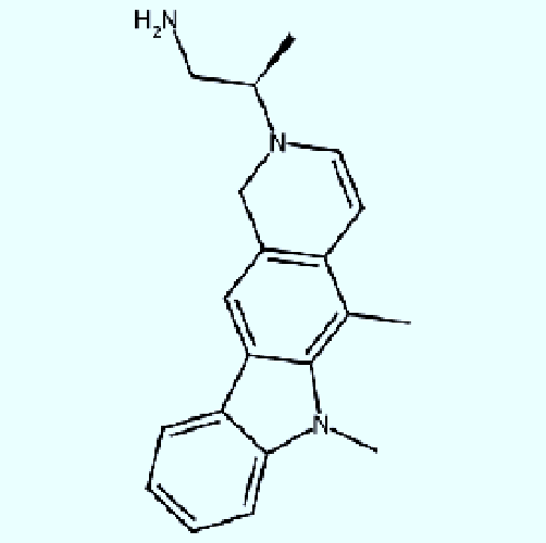 Cc1c2c(cc3c4ccccc4n(C)c13)CN([C@H](C)CN)C=C2